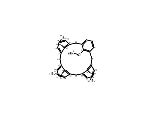 CCCCOc1c2cccc1Cc1cccc(c1OCCCC)Cc1cccc(c1OCCCC)Cc1cccc(c1OCCCC)C2